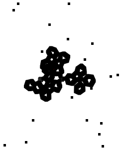 c1ccc(C2(c3ccccc3)c3ccccc3-c3cc(N(c4ccc5c(c4)-c4ccccc4C54c5ccccc5-c5ccccc54)c4ccc5c(c4)C4(c6ccccc6-5)c5ccc6ccccc6c5Oc5c4ccc4ccccc54)ccc32)cc1